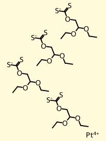 CCOC(COC(=S)[S-])OCC.CCOC(COC(=S)[S-])OCC.CCOC(COC(=S)[S-])OCC.CCOC(COC(=S)[S-])OCC.[Pt+4]